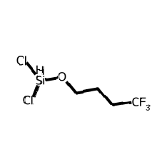 FC(F)(F)CCCO[SiH](Cl)Cl